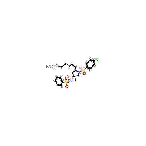 O=C(O)CCC/C=C\[C@@H]1C[C@@H](NS(=O)(=O)c2ccccc2)CN1S(=O)(=O)c1ccc(Cl)cc1